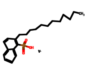 CCCCCCCCCCCCc1ccc2ccccc2c1S(=O)(=O)O.[V]